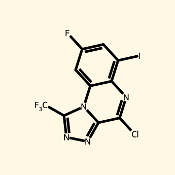 Fc1cc(I)c2nc(Cl)c3nnc(C(F)(F)F)n3c2c1